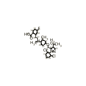 Cc1cc(OCc2c(C(C)C)cnn2-c2c(Cl)cccc2Cl)ccc1N(C)CCc1cc(F)ccc1C(=O)O